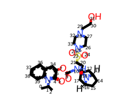 CC(C)n1c(=O)c(OC(=O)N[C@@H]2C[C@H]3CC[C@@H](C2)N3CCCS(=O)(=O)N2CCN(CCO)CC2)cc2ccccc21